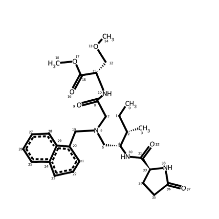 CC[C@H](C)[C@@H](CN(CC(=O)N[C@@H](COC)C(=O)OC)Cc1cccc2ccccc12)NC(=O)[C@@H]1CCC(=O)N1